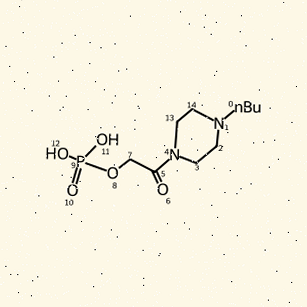 CCCCN1CCN(C(=O)COP(=O)(O)O)CC1